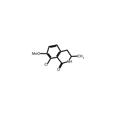 COc1ccc2c(c1Cl)C(=O)NC(C)C2